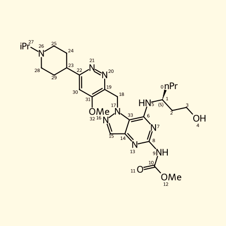 CCC[C@@H](CCO)Nc1nc(NC(=O)OC)nc2cnn(Cc3nnc(C4CCN(C(C)C)CC4)cc3OC)c12